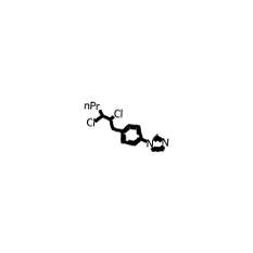 CCCC(Cl)C(Cl)Cc1ccc(-n2[c]ncc2)cc1